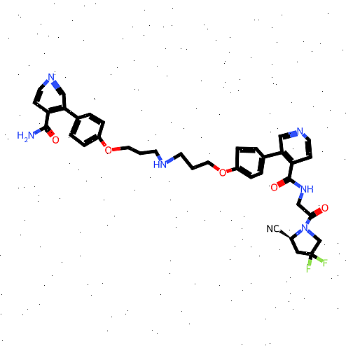 N#C[C@@H]1CC(F)(F)CN1C(=O)CNC(=O)c1ccncc1-c1ccc(OCCCNCCCOc2ccc(-c3cnccc3C(N)=O)cc2)cc1